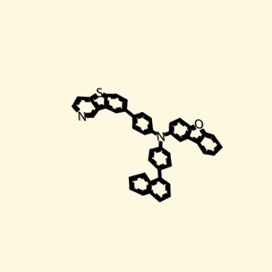 c1ccc2c(-c3ccc(N(c4ccc(-c5ccc6sc7ccncc7c6c5)cc4)c4ccc5oc6ccccc6c5c4)cc3)cccc2c1